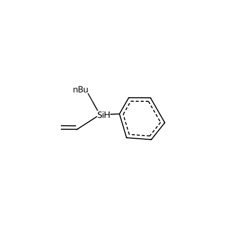 C=C[SiH](CCCC)c1ccccc1